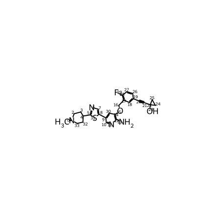 CN1CCC(c2ncc(-c3cnc(N)c(OCc4cc(C#CC5(O)CC5)ccc4F)c3)s2)CC1